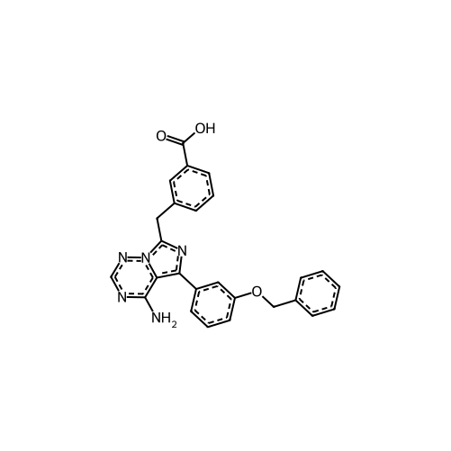 Nc1ncnn2c(Cc3cccc(C(=O)O)c3)nc(-c3cccc(OCc4ccccc4)c3)c12